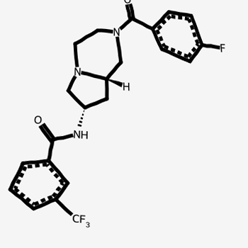 O=C(N[C@H]1C[C@H]2CN(C(=O)c3ccc(F)cc3)CCN2C1)c1cccc(C(F)(F)F)c1